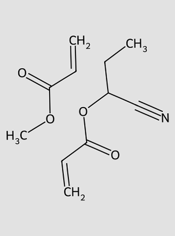 C=CC(=O)OC.C=CC(=O)OC(C#N)CC